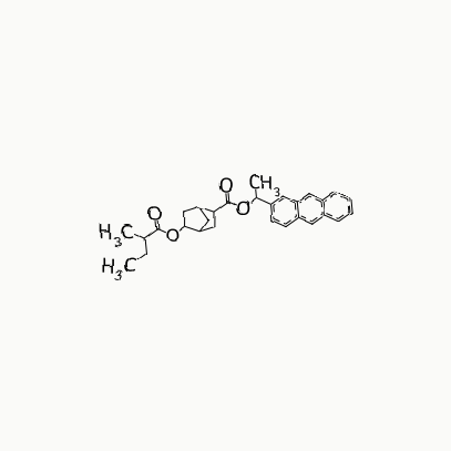 CCC(C)C(=O)OC1CC2CC1CC2C(=O)OC(C)c1ccc2cc3ccccc3cc2c1